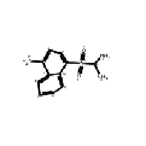 CC(N)S(=O)(=O)c1ccc(N)c2ccccc12